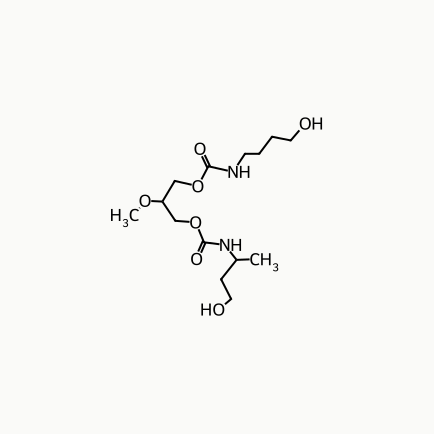 COC(COC(=O)NCCCCO)COC(=O)NC(C)CCO